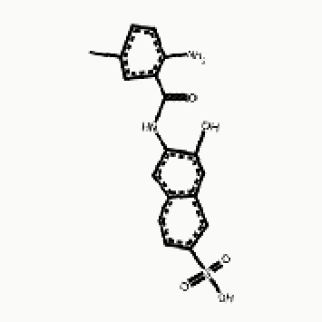 Cc1ccc(N)c(C(=O)Nc2cc3ccc(S(=O)(=O)O)cc3cc2O)c1